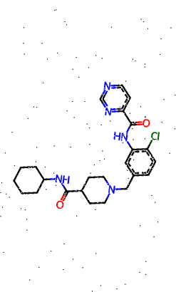 O=C(Nc1cc(CN2CCC(C(=O)NC3CCCCC3)CC2)ccc1Cl)c1ccncn1